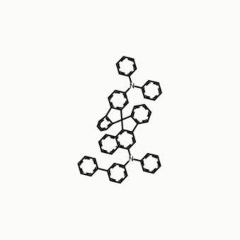 c1ccc(-c2cccc(N(c3ccccc3)c3cc4c(c5ccccc35)C3(c5ccccc5-c5ccc(N(c6ccccc6)c6ccccc6)cc53)c3ccccc3-4)c2)cc1